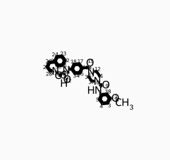 COc1cccc(NC(=O)N2CCN(C(=O)c3ccc(N(c4cccc5cccnc45)[SH](=O)=O)cc3)CC2)c1